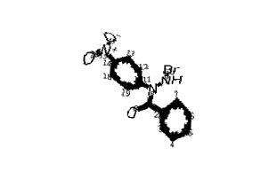 O=C(c1ccccc1)N(NBr)c1ccc([N+](=O)[O-])cc1